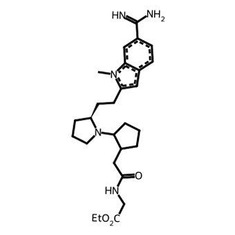 CCOC(=O)CNC(=O)CC1CCCC1N1CCC[C@H]1CCc1cc2ccc(C(=N)N)cc2n1C